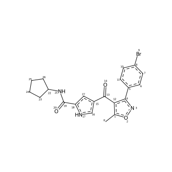 Cc1onc(-c2ccc(Br)cc2)c1C(=O)c1c[nH]c(C(=O)NC2CCCC2)c1